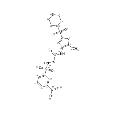 Cc1sc(S(=O)(=O)N2CCSCC2)cc1NC(=O)CNS(=O)(=O)c1cccc([N+](=O)[O-])c1